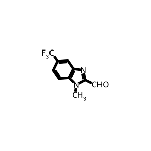 Cn1c(C=O)nc2cc(C(F)(F)F)ccc21